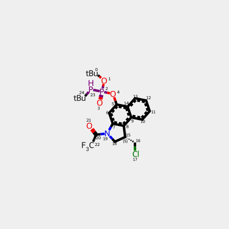 CC(C)(C)OP(=O)(Oc1cc2c(c3ccccc13)[C@H](CCl)CN2C(=O)C(F)(F)F)PC(C)(C)C